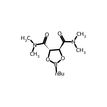 CCCCB1O[C@H](C(=O)N(C)C)[C@@H](C(=O)N(C)C)O1